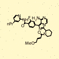 CCCc1ccnc(NC(=O)c2ccc(-c3nc(C4CCCCN4C(=O)/C=C/COC)n4ccnc(N)c34)cc2F)c1